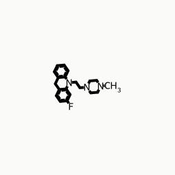 CN1CCN(CCN2c3ccccc3Cc3ccc(F)cc32)CC1